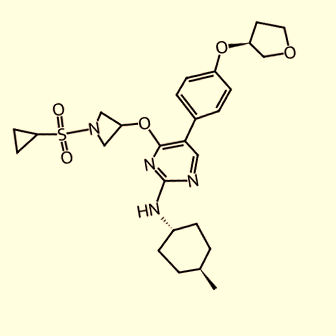 C[C@H]1CC[C@H](Nc2ncc(-c3ccc(O[C@H]4CCOC4)cc3)c(OC3CN(S(=O)(=O)C4CC4)C3)n2)CC1